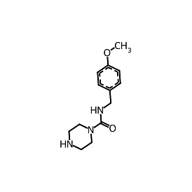 COc1ccc(CNC(=O)N2CCNCC2)cc1